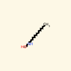 CCCCCCCCCCCCCCCCCNCCO